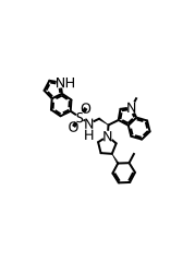 CC1C=CC=CC1[C@H]1CCN([C@@H](CNS(=O)(=O)c2ccc3cc[nH]c3c2)c2cn(C)c3ccccc23)C1